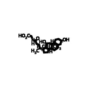 CC(CCC(=O)NCC(=O)O)[C@H]1CC[C@H]2[C@@H]3CCC4C[C@H](O)CC[C@]4(C)[C@H]3C[C@H](O)[C@]12C